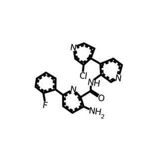 Nc1ccc(-c2ccccc2F)nc1C(=O)Nc1cnccc1-c1ccncc1Cl